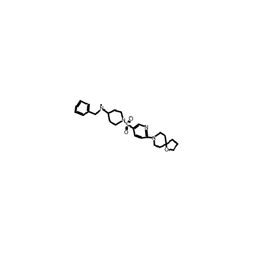 CN(Cc1ccccc1)C1CCN(S(=O)(=O)c2ccc(N3CCC4(CCCO4)CC3)nc2)CC1